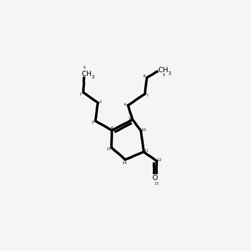 CCCCC1=C(CCCC)CC(C=O)CC1